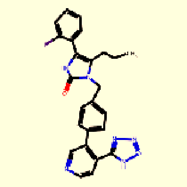 CCCc1c(-c2ccccc2I)[nH]c(=O)n1Cc1ccc(-c2cnccc2-c2nnn[nH]2)cc1